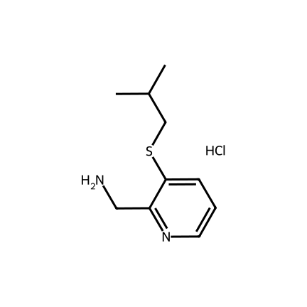 CC(C)CSc1cccnc1CN.Cl